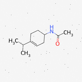 CC(=O)NC1CC=C(C(C)C)CC1